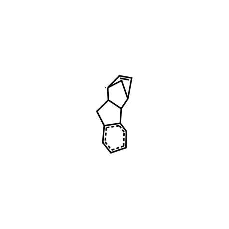 C1=CC2C[C]1C1Cc3ccccc3C21